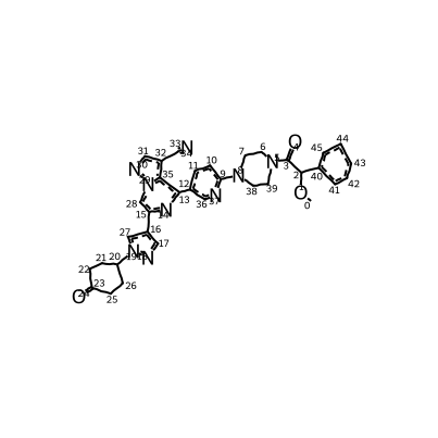 COC(C(=O)N1CCN(c2ccc(-c3nc(-c4cnn(C5CCC(=O)CC5)c4)cn4ncc(C#N)c34)cn2)CC1)c1ccccc1